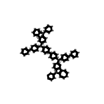 C1=CCCC(n2c3c(c4cc(N(c5ccc(-c6ccccc6)cc5)c5ccc(-c6ccc(N(C7=CCC(c8ccccc8)C=C7)c7ccc8c(c7)c7ccccc7n8C7=CCCC=C7)cc6)cc5)ccc42)C=CCC=C3)=C1